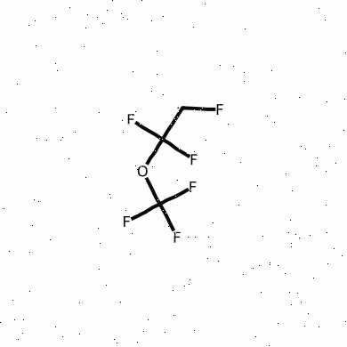 F[CH]C(F)(F)OC(F)(F)F